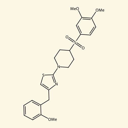 COc1ccccc1Cc1csc(N2CCC(S(=O)(=O)c3ccc(OC)c(OC)c3)CC2)n1